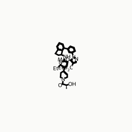 CCOC(=O)c1cnn(-c2cccc(-c3cccc4c3C(Nc3ccc(C5=CCN(C(=O)[C@H](C)O)CC5)c(CC)n3)CC4)c2)c1OC